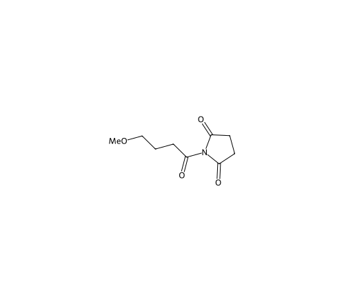 COCCCC(=O)N1C(=O)CCC1=O